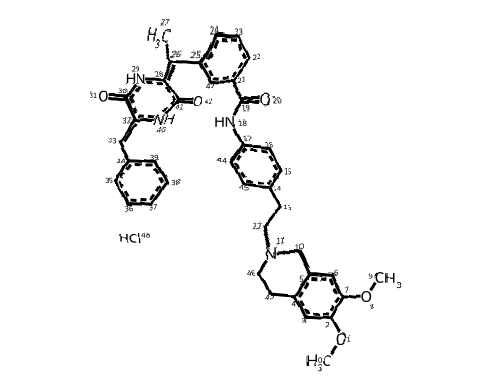 COc1cc2c(cc1OC)CN(CCc1ccc(NC(=O)c3cccc(C(C)=c4[nH]c(=O)c(=Cc5ccccc5)[nH]c4=O)c3)cc1)CC2.Cl